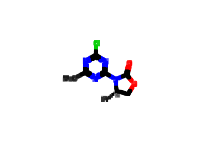 COc1nc(Cl)nc(N2C(=O)OC[C@@H]2C(C)C)n1